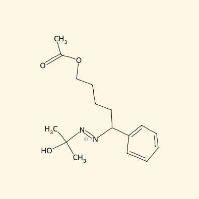 CC(=O)OCCCCC(/N=N/C(C)(C)O)c1ccccc1